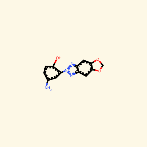 Nc1ccc(O)c(-n2nc3cc4c(cc3n2)OCO4)c1